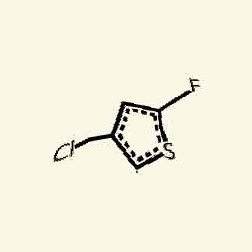 Fc1cc(Cl)[c]s1